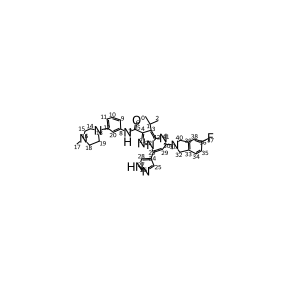 CC(C)c1c(C(=O)Nc2cccc(N3CCN(C)CC3)c2)nn2c(-c3cn[nH]c3)cc(N3Cc4ccc(F)cc4C3)nc12